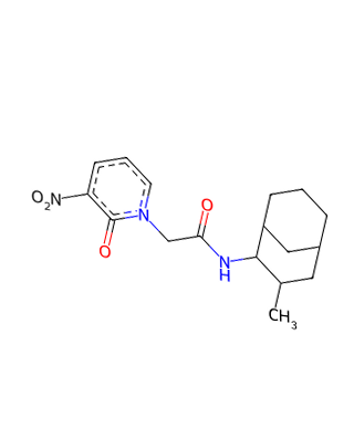 CC1CC2CCCC(C2)C1NC(=O)Cn1cccc([N+](=O)[O-])c1=O